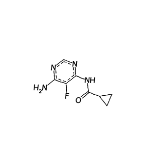 Nc1ncnc(NC(=O)C2CC2)c1F